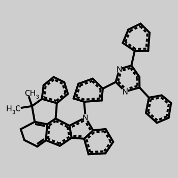 CC1(C)C2=c3c(c4c(cc3=CCC2)c2ccccc2n4-c2cccc(-c3nc(-c4ccccc4)cc(-c4ccccc4)n3)c2)-c2ccccc21